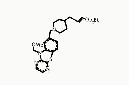 CCOC(=O)C=CCC1CCN(Cc2ccc3c(c2)N(COC)c2nccnc2S3)CC1